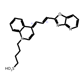 O=S(=O)(O)CCCCN1C=C/C(=C\C=C\c2nc3ncccc3o2)c2ccccc21